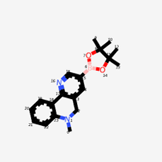 CN1Cc2cc(B3OC(C)(C)C(C)(C)O3)cnc2-c2ccccc21